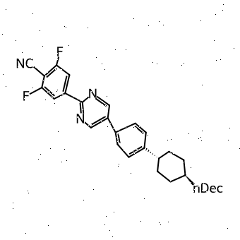 CCCCCCCCCC[C@H]1CC[C@H](c2ccc(-c3cnc(-c4cc(F)c(C#N)c(F)c4)nc3)cc2)CC1